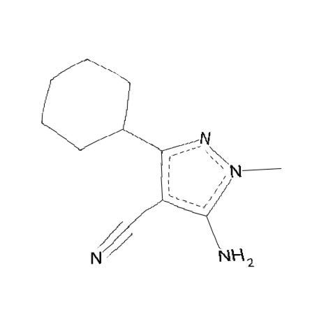 Cn1nc(C2CCCCC2)c(C#N)c1N